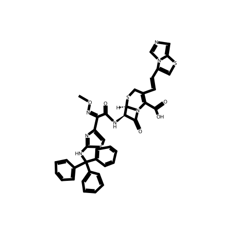 CO/N=C(\C(=O)N[C@@H]1C(=O)N2C(C(=O)O)=C(/C=C/c3csc4cncn34)CS[C@H]12)c1csc(NC(c2ccccc2)(c2ccccc2)c2ccccc2)n1